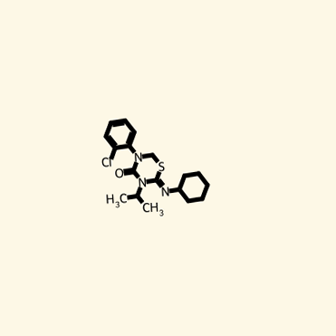 CC(C)N1C(=O)N(c2ccccc2Cl)CSC1=NC1CCCCC1